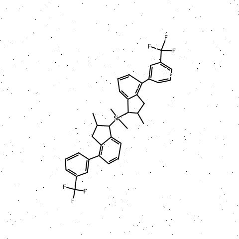 CC1Cc2c(-c3cccc(C(F)(F)F)c3)cccc2C1[Si](C)(C)C1c2cccc(-c3cccc(C(F)(F)F)c3)c2CC1C